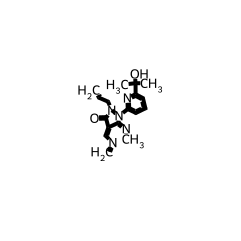 C=CCN1C(=O)C(=C/N=C)/C(=N\C)N1c1cccc(C(C)(C)O)n1